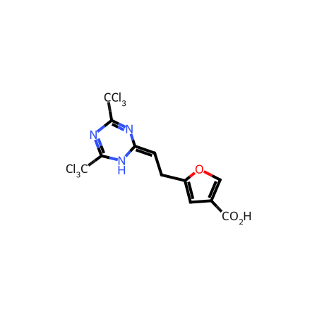 O=C(O)c1coc(CC=C2N=C(C(Cl)(Cl)Cl)N=C(C(Cl)(Cl)Cl)N2)c1